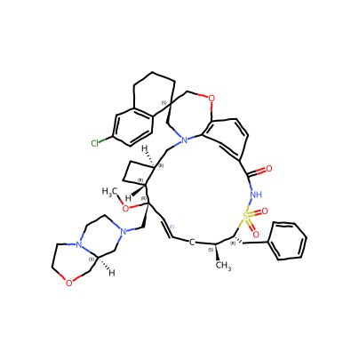 CO[C@@]1(CN2CCN3CCOC[C@@H]3C2)/C=C/C[C@H](C)[C@@H](Cc2ccccc2)S(=O)(=O)NC(=O)c2ccc3c(c2)N(C[C@@H]2CC[C@H]21)C[C@@]1(CCCc2cc(Cl)ccc21)CO3